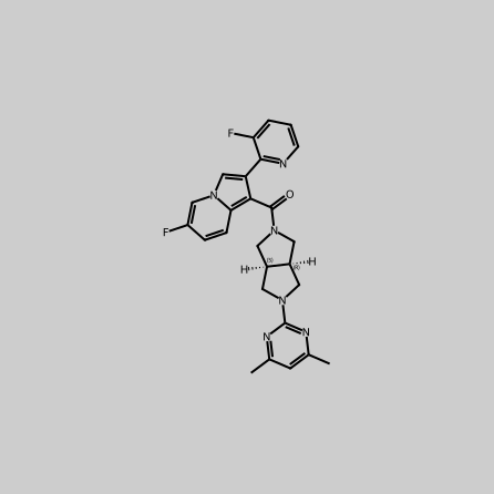 Cc1cc(C)nc(N2C[C@H]3CN(C(=O)c4c(-c5ncccc5F)cn5cc(F)ccc45)C[C@H]3C2)n1